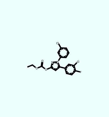 CCOC(=O)Oc1cc(-c2ccc(F)c(Cl)c2)n(-c2cccc(Cl)c2)n1